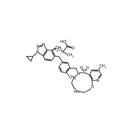 Cc1cnc2c(c1)S(=O)(=O)N(Cc1cc([C@H](c3ccc4c(nnn4C4CC4)c3C)C(C)(C)C(=O)O)ccc1C)CCCNCCO2